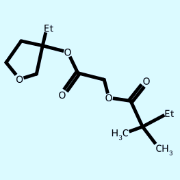 CCC1(OC(=O)COC(=O)C(C)(C)CC)CCOC1